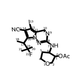 CC(=O)OC1COCCC1Nc1ncc2c(I)c(C#N)c(C(C)C(C)(C)F)n2n1